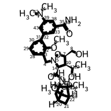 COc1c(CN2O[C@@H](CO)[C@@H]([C@H](C)O)[C@H]2C(=O)N[C@H]2C[C@H]3C[C@@H]([C@@H]2C)C3(C)C)cccc1-c1cc(C(N)=O)cc(N(C)C)c1